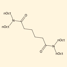 CCCCCCCCN(CCCCCCCC)C(=O)CCCCC(=O)N(CCCCCCCC)CCCCCCCC